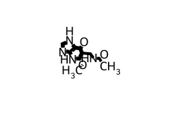 COc1[nH]c2nc[nH]c2c(=O)c1CNC(C)=O